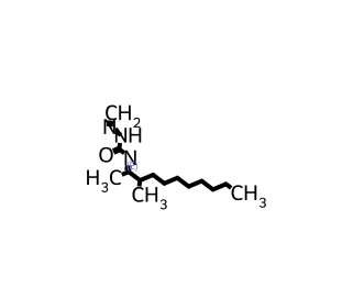 C=NNC(=O)/N=C(\C)C(C)CCCCCCCC